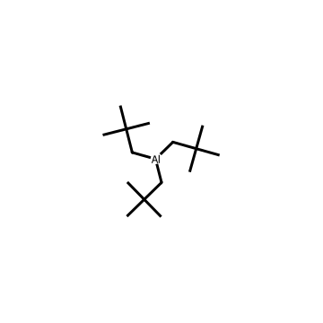 CC(C)(C)[CH2][Al]([CH2]C(C)(C)C)[CH2]C(C)(C)C